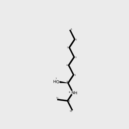 CCCCCC[C@H](O)NC(C)C